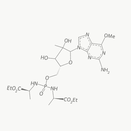 CCOC(=O)[C@H](C)NP(=O)(N[C@H](C)C(=O)OCC)OC[C@H]1OC(n2cnc3c(OC)nc(N)nc32)C(C)(O)C1O